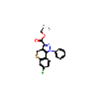 CCOC(=O)c1nn(-c2ccccc2)c2c1CSc1cc(Br)ccc1-2